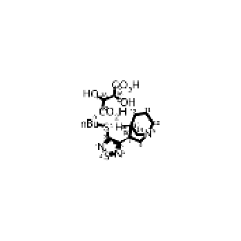 CCCCSc1nsnc1[C@@H]1CN2CCC[C@@H]1C2.O=C(O)C(O)C(O)C(=O)O